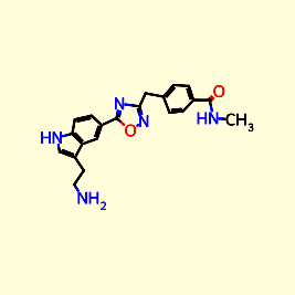 CNC(=O)c1ccc(Cc2noc(-c3ccc4[nH]cc(CCN)c4c3)n2)cc1